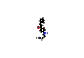 O=C(O)CCNc1ccc(C(=O)C=Cc2ccccc2)cc1